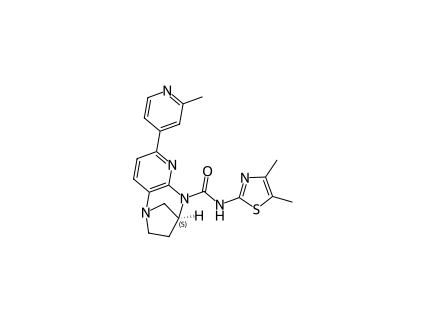 Cc1cc(-c2ccc3c(n2)N(C(=O)Nc2nc(C)c(C)s2)[C@H]2CCN3C2)ccn1